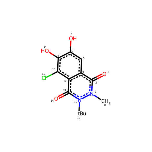 Cn1c(=O)c2cc(O)c(O)c(Cl)c2c(=O)n1C(C)(C)C